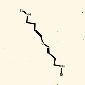 CCNCCC=COC=CCCNCC